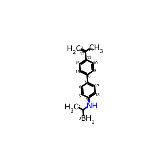 BC(C)Nc1ccc(-c2ccc(C(=C)C)cc2)cc1